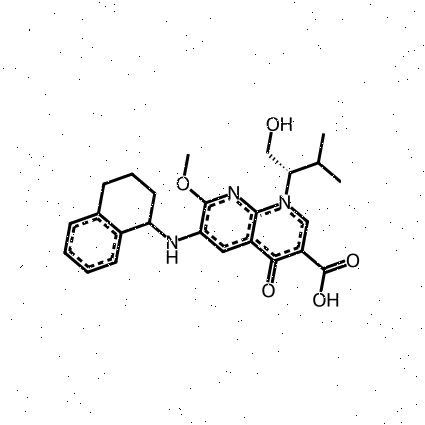 COc1nc2c(cc1NC1CCCc3ccccc31)c(=O)c(C(=O)O)cn2[C@H](CO)C(C)C